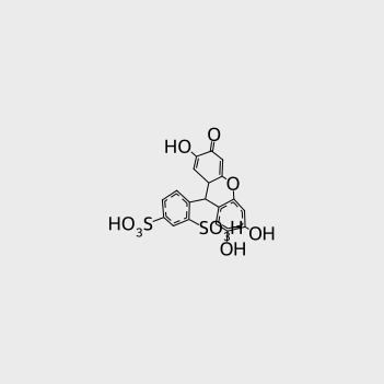 O=C1C=C2Oc3cc(O)c(O)cc3C(c3ccc(S(=O)(=O)O)cc3S(=O)(=O)O)C2C=C1O